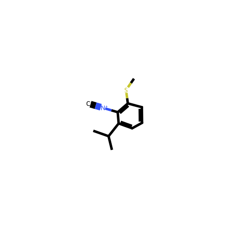 [C-]#[N+]c1c(SC)cccc1C(C)C